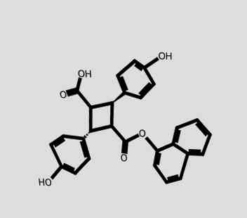 O=C(O)C1[C@@H](c2ccc(O)cc2)C(C(=O)Oc2cccc3ccccc23)[C@@H]1c1ccc(O)cc1